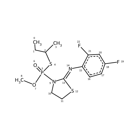 CCC(C)SP(=O)(OC)N1CCSC1=Nc1ccc(F)cc1F